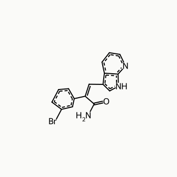 NC(=O)C(=Cc1c[nH]c2ncccc12)c1cccc(Br)c1